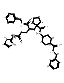 O=C(CCC(CC1(C(=O)NC2CCC(C(=O)OCc3ccccc3)CC2)CCCC1)C(=O)OCc1ccccc1)Nc1nccs1